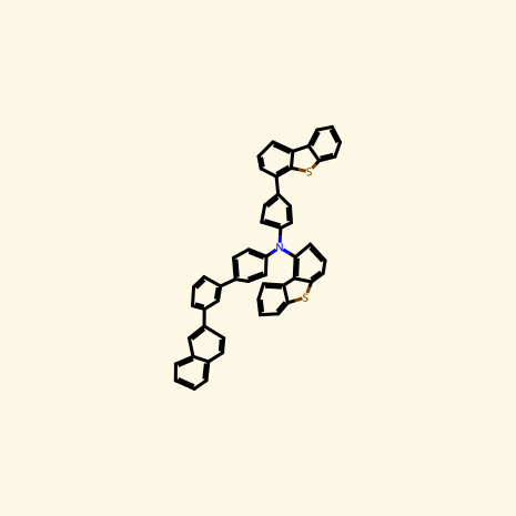 c1cc(-c2ccc(N(c3ccc(-c4cccc5c4sc4ccccc45)cc3)c3cccc4sc5ccccc5c34)cc2)cc(-c2ccc3ccccc3c2)c1